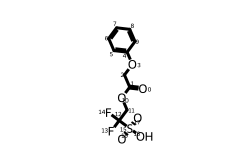 O=C(COc1ccccc1)OCC(F)(F)S(=O)(=O)O